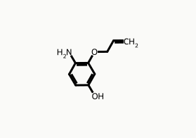 C=CCOc1cc(O)ccc1N